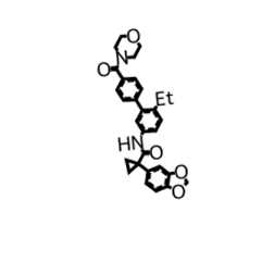 CCc1ccc(NC(=O)C2(c3ccc4c(c3)OCO4)CC2)cc1-c1ccc(C(=O)N2CCOCC2)cc1